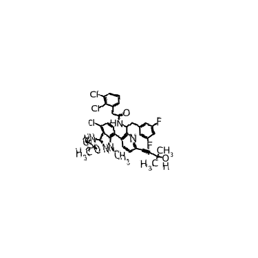 Cn1nc(NS(C)(=O)=O)c2c(Cl)ccc(-c3ccc(C#CC(C)(C)O)nc3C(Cc3cc(F)cc(F)c3)NC(=O)Cc3cccc(Cl)c3Cl)c21